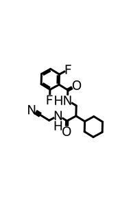 N#CCNC(=O)C(CNC(=O)c1c(F)cccc1F)C1CCCCC1